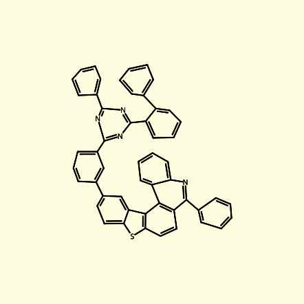 c1ccc(-c2nc(-c3cccc(-c4ccc5sc6ccc7c(-c8ccccc8)nc8ccccc8c7c6c5c4)c3)nc(-c3ccccc3-c3ccccc3)n2)cc1